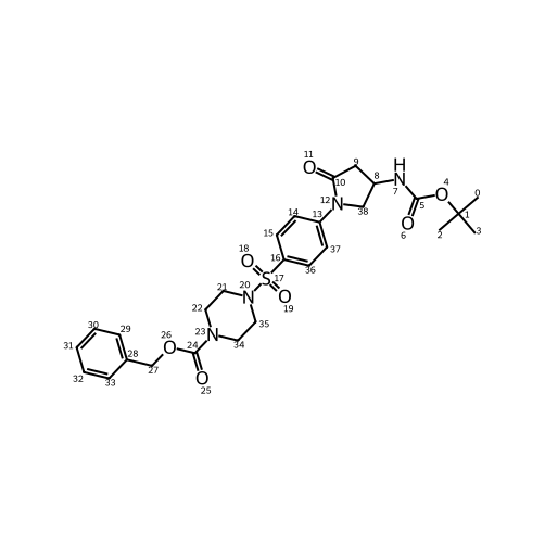 CC(C)(C)OC(=O)NC1CC(=O)N(c2ccc(S(=O)(=O)N3CCN(C(=O)OCc4ccccc4)CC3)cc2)C1